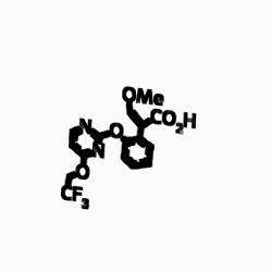 COC=C(C(=O)O)c1ccccc1Oc1nccc(OCC(F)(F)F)n1